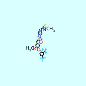 COc1cc(/C=C2/SC(N3CCN(Cc4csc(C)n4)CC3)=NC2=O)ccc1OCc1ccc(C(F)(F)F)cc1C(F)(F)F